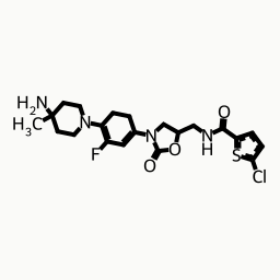 CC1(N)CCN(C2=C(F)C=C(N3CC(CNC(=O)c4ccc(Cl)s4)OC3=O)CC2)CC1